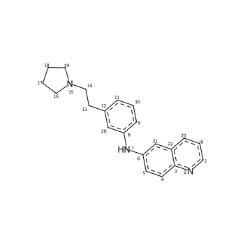 [c]1cnc2ccc(Nc3cccc(CCN4CCCC4)c3)cc2c1